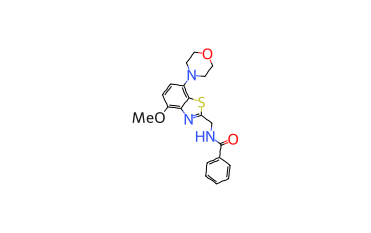 COc1ccc(N2CCOCC2)c2sc(CNC(=O)c3ccccc3)nc12